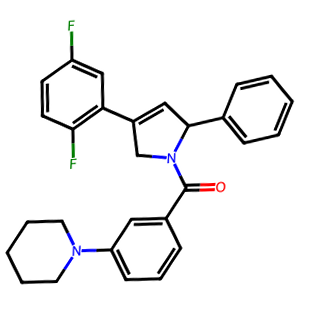 O=C(c1cccc(N2CCCCC2)c1)N1CC(c2cc(F)ccc2F)=CC1c1ccccc1